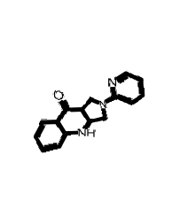 O=C1C2C=CC=CC2NC2CN(c3ccccn3)CC12